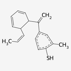 C=C(c1ccc(S)c(C)c1)C1C=CC=CC1/C=C\C